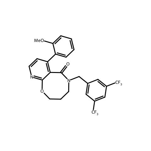 COc1ccccc1-c1ccnc2c1C(=O)N(Cc1cc(C(F)(F)F)cc(C(F)(F)F)c1)CCCO2